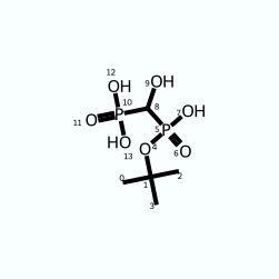 CC(C)(C)OP(=O)(O)C(O)P(=O)(O)O